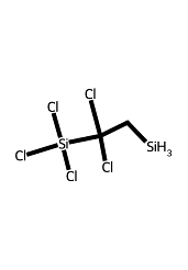 [SiH3]CC(Cl)(Cl)[Si](Cl)(Cl)Cl